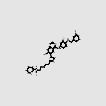 O=S(=O)(CCNCCc1nc(-c2cc3c(Nc4ccc(OCc5cccc(F)c5)c(Cl)c4)ncnc3cc2F)cs1)c1ccccn1